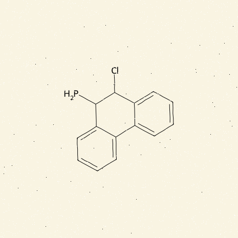 PC1c2ccccc2-c2ccccc2C1Cl